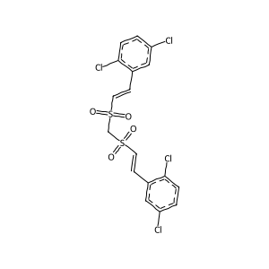 O=S(=O)(/C=C/c1cc(Cl)ccc1Cl)CS(=O)(=O)/C=C/c1cc(Cl)ccc1Cl